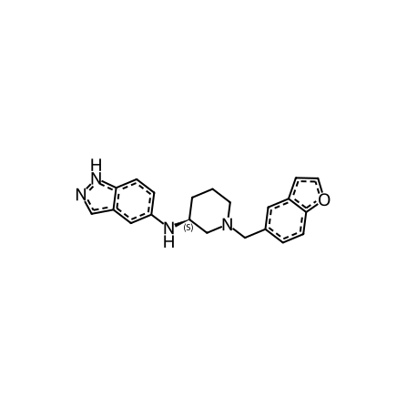 c1cc2cc(CN3CCC[C@H](Nc4ccc5[nH]ncc5c4)C3)ccc2o1